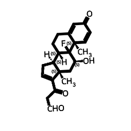 C[C@]12C=CC(=O)C=C1CC[C@H]1[C@@H]3CC=C(C(=O)CC=O)[C@@]3(C)C[C@H](O)C12F